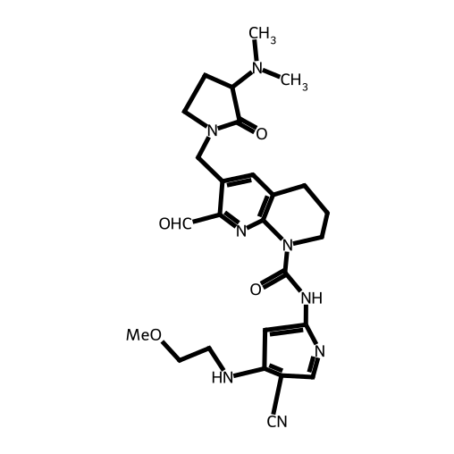 COCCNc1cc(NC(=O)N2CCCc3cc(CN4CCC(N(C)C)C4=O)c(C=O)nc32)ncc1C#N